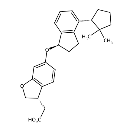 CC1(C)CCC[C@H]1c1cccc2c1CC[C@H]2Oc1ccc2c(c1)OC[C@H]2CC(=O)O